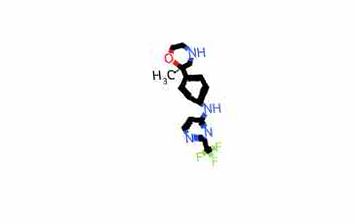 C[C@@]1(c2ccc(Nc3ccnc(C(F)(F)F)n3)cc2)CNCCO1